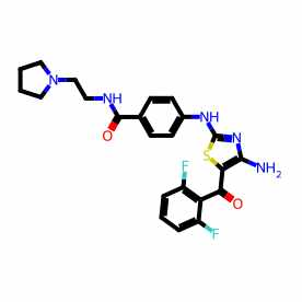 Nc1nc(Nc2ccc(C(=O)NCCN3CCCC3)cc2)sc1C(=O)c1c(F)cccc1F